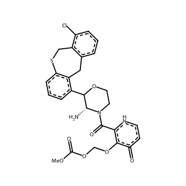 COC(=O)OCOc1c(C(=O)N2CCOC(c3cccc4c3Cc3cccc(Cl)c3CS4)[C@H]2N)[nH]ccc1=O